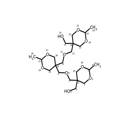 CC1OCC(CO)(COCC2(COCC3(CO)COC(C)OC3)COC(C)OC2)CO1